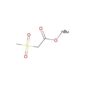 CCCCOC(=O)CS(C)(=O)=O